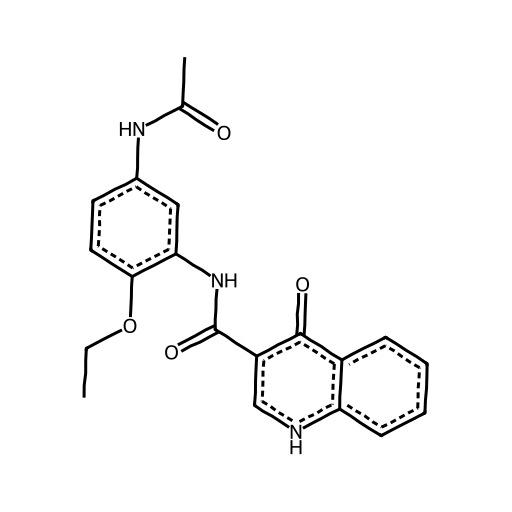 CCOc1ccc(NC(C)=O)cc1NC(=O)c1c[nH]c2ccccc2c1=O